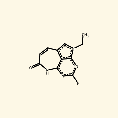 CCn1cc2c3c(nc(F)nc31)NC(=O)C=C2